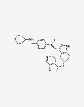 CC(Oc1ccc2[nH]nc(/C=C(\F)c3ccc(CNC4CCOCC4)nc3)c2c1)c1ccncc1Cl